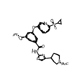 CC(=O)N1CCC(c2csc(NC(=O)c3cc(Oc4ccc(S(=O)(=O)C5CC5)nc4)cc(OC(C)C)c3)n2)CC1